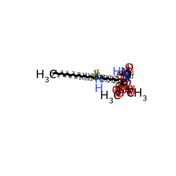 CCCCCCCCCCCCCCCC(=S)NCCCC/C=C/C[C@H]1C(OP(=O)(O)OC)[C@@H](COC)O[C@H]1n1ccc(=O)[nH]c1=O